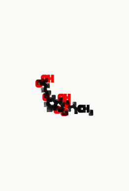 CCCCOc1c(O)c2cc(OCCCC(=O)O)ccc2oc1=O